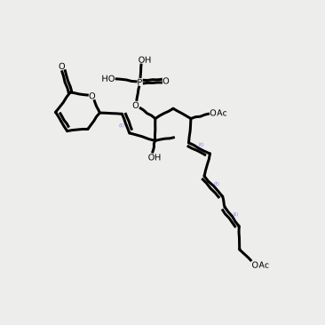 CC(=O)OC/C=C/C=C/C=C/C(CC(OP(=O)(O)O)C(C)(O)/C=C/C1CC=CC(=O)O1)OC(C)=O